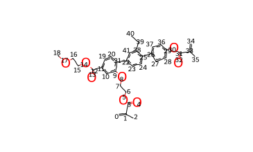 C=C(C)C(=O)OCCOc1cc(C(=O)OCCOC)ccc1-c1ccc(-c2ccc(OC(=O)C(=C)C)cc2)c(CC)c1